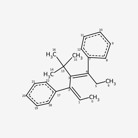 C/C=C(\C(=C(/CC)c1ccccc1)C(C)(C)C)c1ccccc1